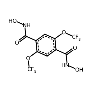 O=C(NO)c1cc(OC(F)(F)F)c(C(=O)NO)cc1OC(F)(F)F